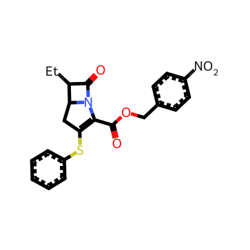 CCC1C(=O)N2C(C(=O)OCc3ccc([N+](=O)[O-])cc3)=C(Sc3ccccc3)CC12